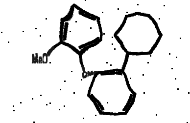 COc1ccccc1OC.c1ccc(C2CCCCC2)cc1